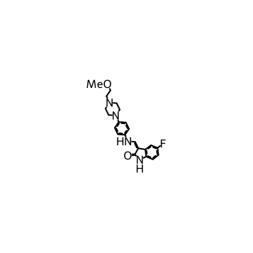 COCCN1CCN(c2ccc(NC=C3C(=O)Nc4ccc(F)cc43)cc2)CC1